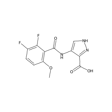 COc1ccc(F)c(F)c1C(=O)Nc1c[nH]nc1C(=O)O